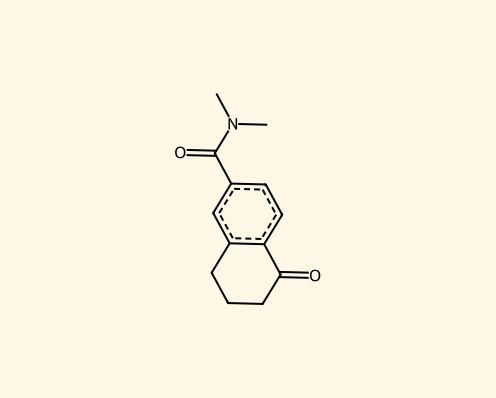 CN(C)C(=O)c1ccc2c(c1)CCCC2=O